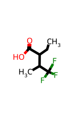 CCC(C(=O)O)C(C)C(F)(F)F